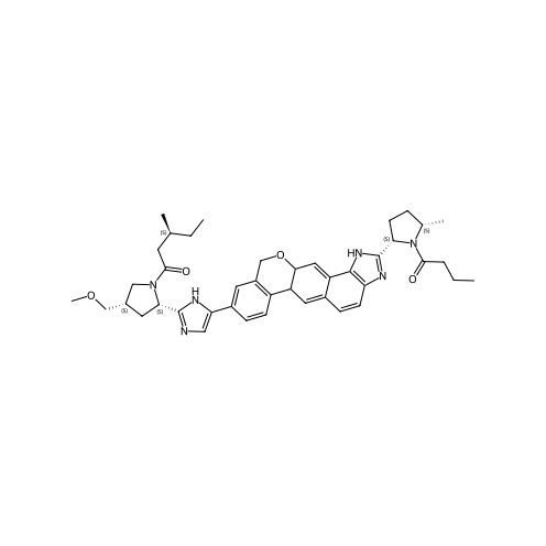 CCCC(=O)N1[C@@H](C)CC[C@H]1c1nc2ccc3c(c2[nH]1)=CC1OCc2cc(-c4cnc([C@@H]5C[C@H](COC)CN5C(=O)C[C@@H](C)CC)[nH]4)ccc2C1C=3